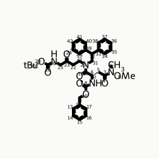 CON(C)C(=O)C[C@H](NC(=O)OCc1ccccc1)C(=O)N(CCC(=O)CNC(=O)OC(C)(C)C)CC(c1ccccc1)c1ccccc1